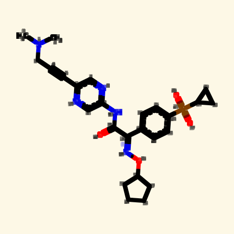 CN(C)CC#Cc1cnc(NC(=O)/C(=N/OC2CCCC2)c2ccc(S(=O)(=O)C3CC3)cc2)cn1